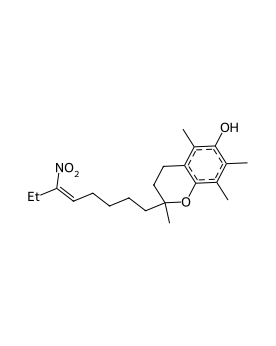 CCC(=CCCCCC1(C)CCc2c(C)c(O)c(C)c(C)c2O1)[N+](=O)[O-]